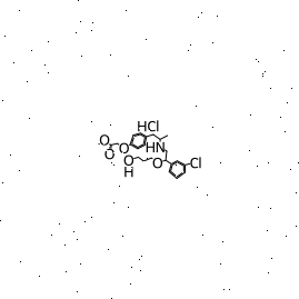 COC(=O)COc1ccc(CC(C)NCC(OCCCO)c2cccc(Cl)c2)cc1.Cl